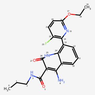 CCCNC(=O)c1c(N)c2cccc(-c3nc(OCC)ccc3F)c2[nH]c1=O